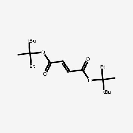 CCC(C)(OC(=O)/C=C/C(=O)OC(C)(CC)C(C)(C)C)C(C)(C)C